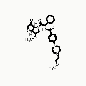 COCCN1CCN(c2ccc(C(=O)N[C@H](C(=O)N3C[C@@H](OC)[C@H]4OCC(=O)[C@H]43)C3CCCCC3)cc2)CC1